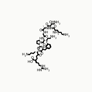 C[C@H](NC(=O)[C@@H](NC(=O)[C@@H](N)CCCCN)[C@@H](O)CN)C(=O)NCC(=O)N[C@H](CCCN)C(=O)N1CCC[C@H]1C(=O)NC(Cc1cccc(F)c1)C(=O)N[C@@H](CCCCN)C(=O)CC/C(=C\CCNC(=N)N)C(=O)O